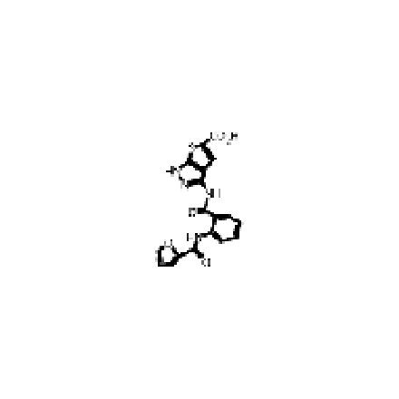 O=C(Nc1ccccc1C(=O)Nc1n[nH]c2sc(C(=O)O)cc12)c1ccco1